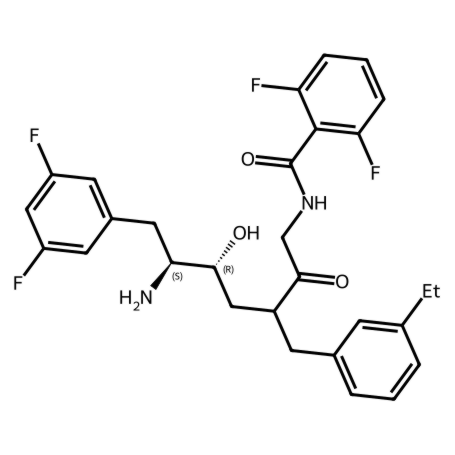 CCc1cccc(CC(C[C@@H](O)[C@@H](N)Cc2cc(F)cc(F)c2)C(=O)CNC(=O)c2c(F)cccc2F)c1